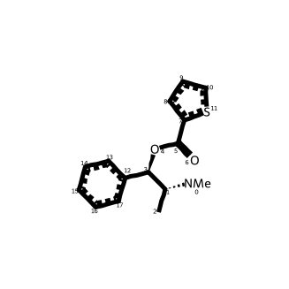 CN[C@H](C)[C@H](OC(=O)c1cccs1)c1ccccc1